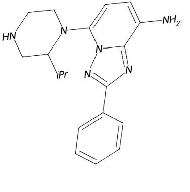 CC(C)C1CNCCN1c1ccc(N)c2nc(-c3ccccc3)nn12